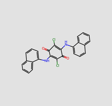 O=C1C(Cl)=C(Nc2cccc3ccccc23)C(=O)C(Cl)=C1Nc1cccc2ccccc12